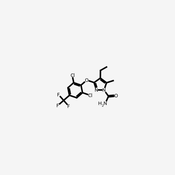 CCc1c(Oc2c(Cl)cc(C(F)(F)F)cc2Cl)nn(C(N)=O)c1C